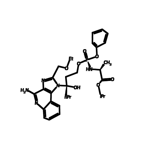 CCC[C@](O)(CCO[P@@](=O)(N[C@@H](C)C(=O)OC(C)C)Oc1ccccc1)n1c(COCC)nc2c(N)nc3ccccc3c21